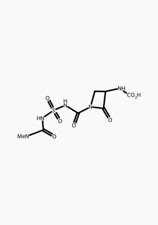 CNC(=O)NS(=O)(=O)NC(=O)N1CC(NC(=O)O)C1=O